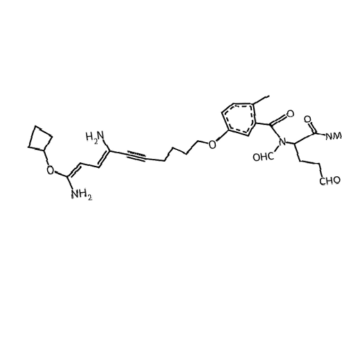 CNC(=O)C(CCC=O)N(C=O)C(=O)c1cc(OCCCCC#C/C(N)=C/C=C(\N)OC2CCC2)ccc1C